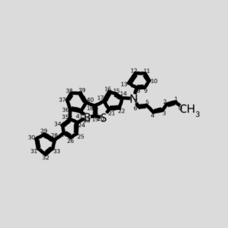 C\C=C/C=C\C=C\N(c1ccccc1)c1ccc2c3c(sc2c1)B1c2ccc(-c4ccccc4)cc2-c2cccc-3c21